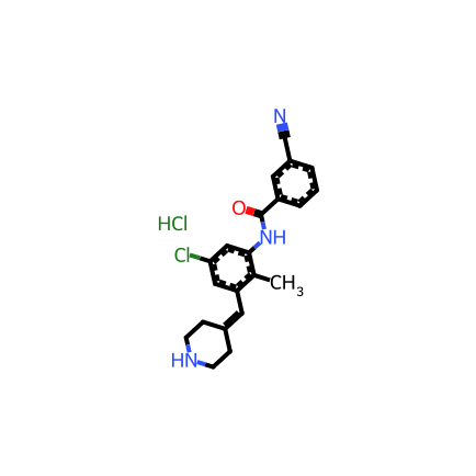 Cc1c(C=C2CCNCC2)cc(Cl)cc1NC(=O)c1cccc(C#N)c1.Cl